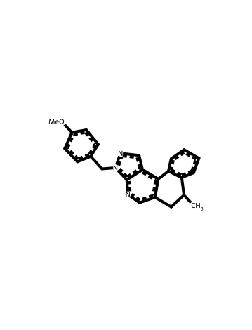 COc1ccc(Cn2ncc3c4c(cnc32)CC(C)c2ccccc2-4)cc1